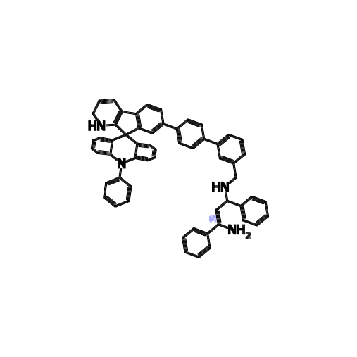 N/C(=C\C(NCc1cccc(-c2ccc(-c3ccc4c(c3)C3(C5=C4C=CCN5)c4ccccc4N(c4ccccc4)c4ccccc43)cc2)c1)c1ccccc1)c1ccccc1